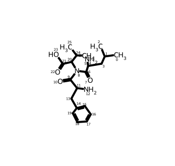 CC(C)CC(N)C(=O)N(C(=O)C(N)Cc1ccccc1)C(C(=O)O)C(C)C